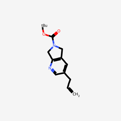 C=CCc1cnc2c(c1)CN(C(=O)OC(C)(C)C)C2